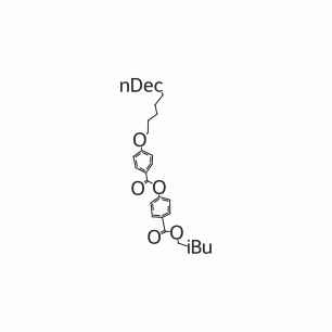 CCCCCCCCCCCCCCCOc1ccc(C(=O)Oc2ccc(C(=O)OCC(C)CC)cc2)cc1